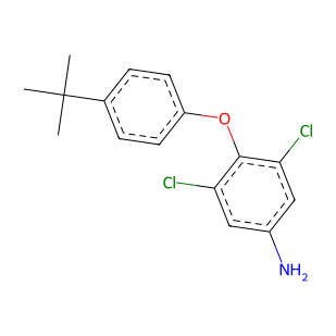 CC(C)(C)c1ccc(Oc2c(Cl)cc(N)cc2Cl)cc1